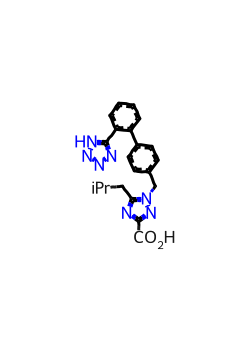 CC(C)Cc1nc(C(=O)O)nn1Cc1ccc(-c2ccccc2-c2nnn[nH]2)cc1